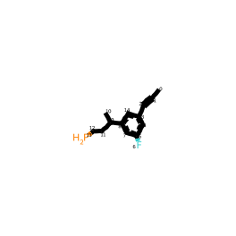 CC#Cc1cc(F)cc(C(C)CCP)c1